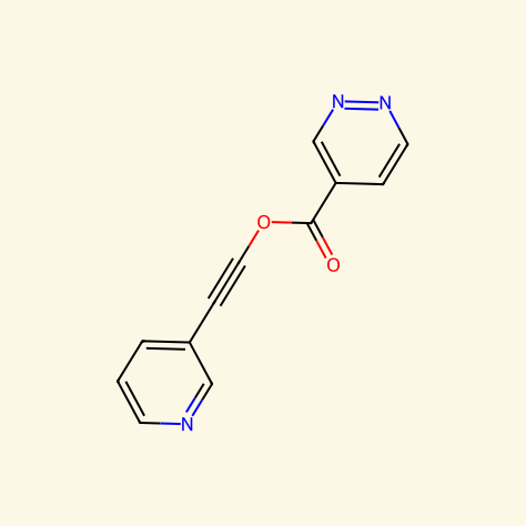 O=C(OC#Cc1cccnc1)c1ccnnc1